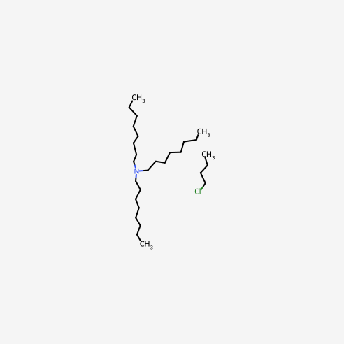 CCCCCCCCN(CCCCCCCC)CCCCCCCC.CCCCCl